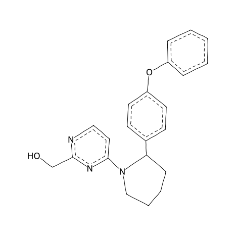 OCc1nccc(N2CCCCC2c2ccc(Oc3ccccc3)cc2)n1